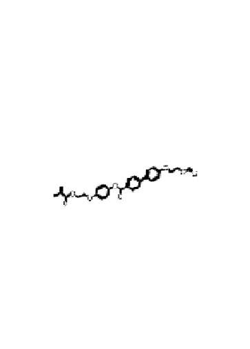 C=C(C)C(=O)OCCOc1ccc(OC(=O)c2ccc(-c3ccc(OCCOC=O)cc3)cc2)cc1